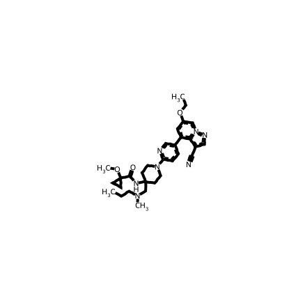 CCCN(C)CC1(NC(=O)C2(OC)CC2)CCN(c2ccc(-c3cc(OCC)cn4ncc(C#N)c34)cn2)CC1